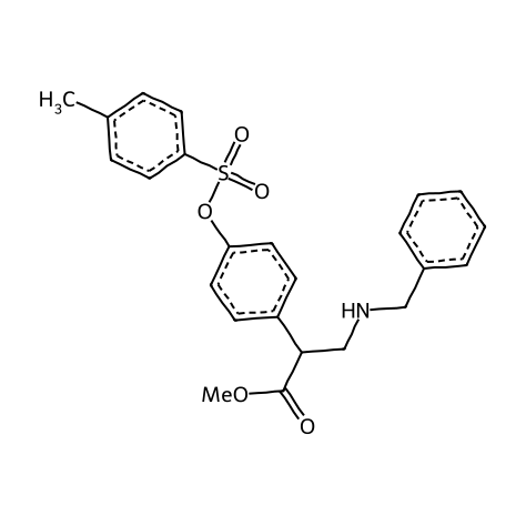 COC(=O)C(CNCc1ccccc1)c1ccc(OS(=O)(=O)c2ccc(C)cc2)cc1